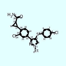 CCn1cc(Sc2ccc(Cl)cc2)c(-c2ccc(C3CC3C(N)=O)c(Cl)c2)n1